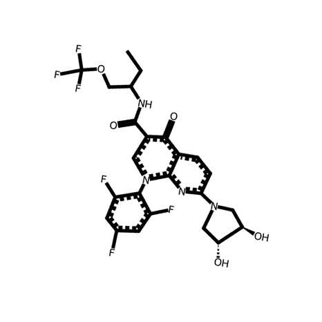 CCC(COC(F)(F)F)NC(=O)c1cn(-c2c(F)cc(F)cc2F)c2nc(N3C[C@@H](O)[C@H](O)C3)ccc2c1=O